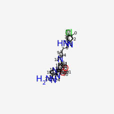 Cc1cc2nc(CCC3CC(N(C)C[C@H]4C[C@@H](n5ccc6c(N)ncnc65)[C@@H]5OC(C)(C)O[C@H]45)C3)[nH]c2cc1Cl